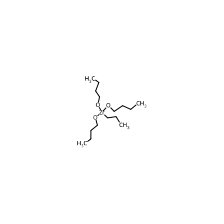 CCCC[O][Zr]([CH2]CC)([O]CCCC)[O]CCCC